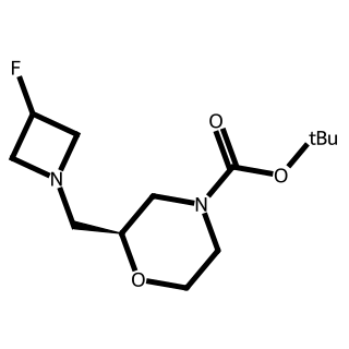 CC(C)(C)OC(=O)N1CCO[C@@H](CN2CC(F)C2)C1